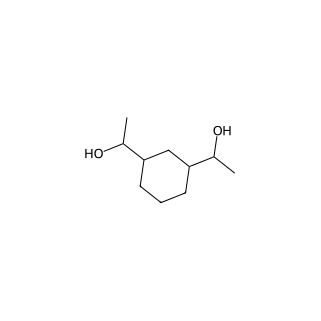 CC(O)C1CCCC(C(C)O)C1